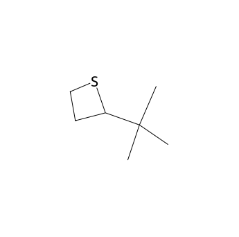 CC(C)(C)C1CCS1